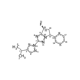 CC(C)c1cnn(-c2nc3n(n2)C(c2ccccc2)C[C@@H]3F)c1